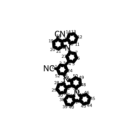 N#Cc1cc(-c2cccc(-n3c4ccccc4c4c(C#N)cccc43)c2)cc(-n2c3ccccc3c3c(-n4c5ccccc5c5ccccc54)cccc32)c1